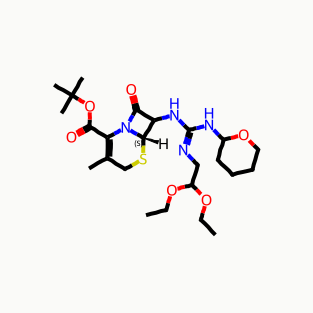 CCOC(CN=C(NC1CCCCO1)NC1C(=O)N2C(C(=O)OC(C)(C)C)=C(C)CS[C@@H]12)OCC